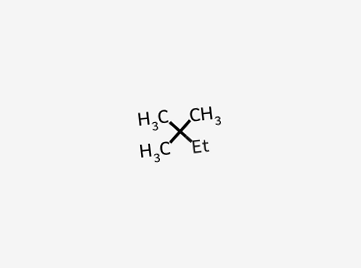 [CH2]CC(C)(C)C